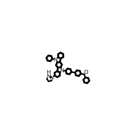 O=C(c1ccccc1)c1ccc(-c2ccc(-n3c4ccc(N5CCCN5)cc4c4cc5c(cc43)c3ccccc3n5-c3ccccc3)cc2)cc1